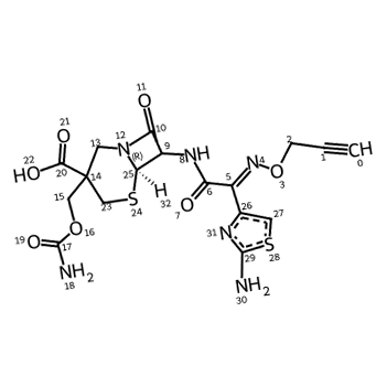 C#CCON=C(C(=O)NC1C(=O)N2CC(COC(N)=O)(C(=O)O)CS[C@H]12)c1csc(N)n1